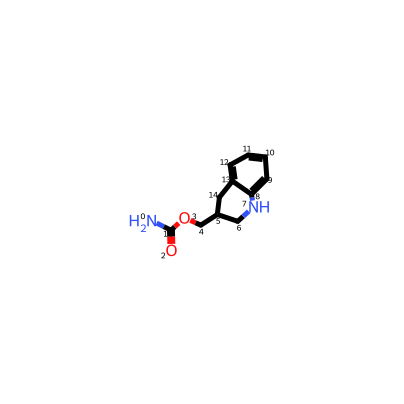 NC(=O)OCC1CNc2ccccc2C1